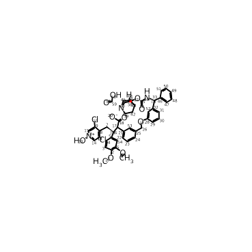 COc1ccc([C@@H](Cc2c(Cl)c[n+](O)cc2Cl)C(C(=O)[O-])c2cccc(COc3cccc([C@@H](NC(=O)O[C@H]4CN5CCC4CC5)c4ccccc4)c3)c2)cc1OC.O=CO